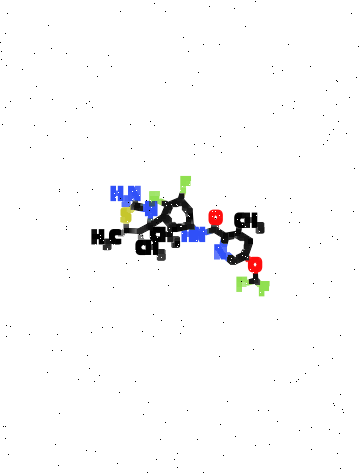 Cc1cc(OC(F)F)cnc1C(=O)Nc1cc(F)c(F)c([C@@]2(C)N=C(N)S[C@@H](C)[C@H]2C)c1